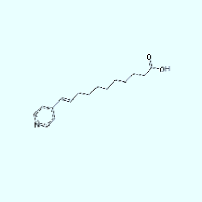 O=C(O)CCCCCCCCC=Cc1ccncc1